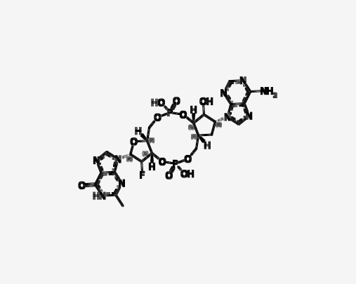 Cc1nc2c(ncn2[C@@H]2O[C@@H]3COP(=O)(O)O[C@@H]4C(O)[C@H](n5cnc6c(N)ncnc65)C[C@@H]4COP(=O)(O)O[C@@H]3C2F)c(=O)[nH]1